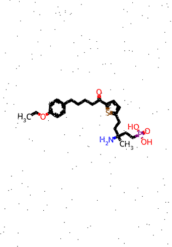 CCOc1ccc(CCCCC(=O)c2ccc(CCC(C)(N)CCP(=O)(O)O)s2)cc1